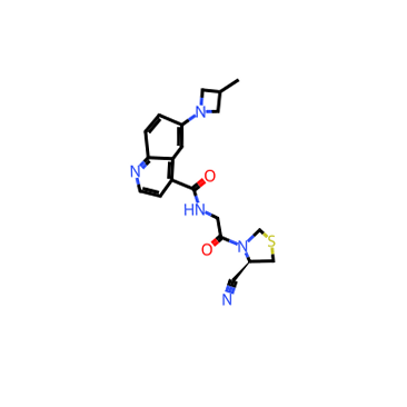 CC1CN(c2ccc3nccc(C(=O)NCC(=O)N4CSC[C@H]4C#N)c3c2)C1